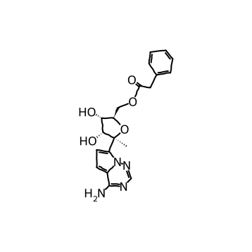 C[C@@]1(c2ccc3c(N)ncnn23)O[C@H](COC(=O)Cc2ccccc2)[C@@H](O)[C@H]1O